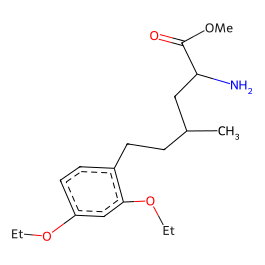 CCOc1ccc(CCC(C)CC(N)C(=O)OC)c(OCC)c1